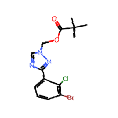 CC(C)(C)C(=O)OCn1cnc(-c2cccc(Br)c2Cl)n1